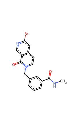 CNC(=O)c1cccc(Cn2ccc3cc(Br)ncc3c2=O)c1